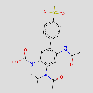 CC(=O)Nc1cc2c(cc1-c1ccc(S(C)(=O)=O)cc1)N(C(=O)O)CC(C)N2C(C)=O